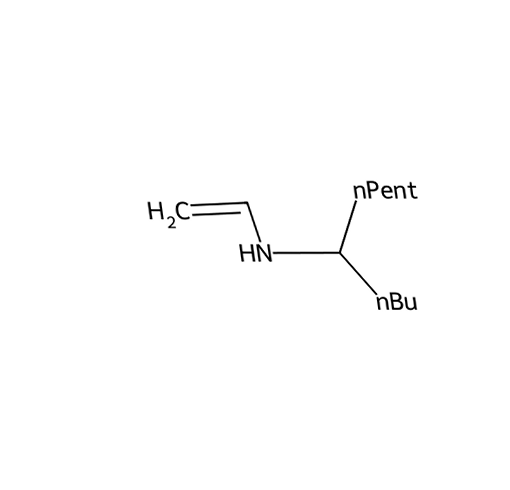 C=CNC(CCCC)CCCCC